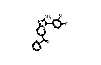 Nc1nc2ccc(C(=O)c3ccccc3)cn2c1-c1ccc(Cl)c(Cl)c1